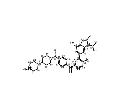 Cc1nc2c(F)cc(-c3nc(Nc4ccc([C@@H](C)N5CCC(N6CCN(C)CC6)CC5)cn4)ncc3F)cc2n1C(C)C